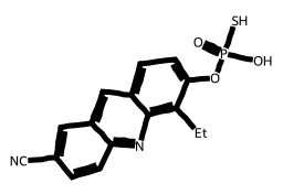 CCc1c(OP(=O)(O)S)ccc2cc3cc(C#N)ccc3nc12